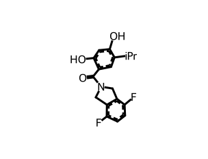 CC(C)c1cc(C(=O)N2Cc3c(F)ccc(F)c3C2)c(O)cc1O